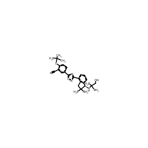 BC(B)(CO)N[C@@H]1c2cccc(-c3noc(-c4ccc(OC(B)(C)C)c(C#N)c4)n3)c2CC1(B)B